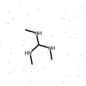 CNC(NC)NC